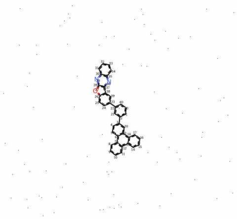 c1cc(-c2ccc3c4ccccc4c4ccccc4c3c2)cc(-c2ccc3oc4nc5ccccc5nc4c3c2)c1